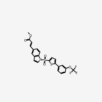 COC(=O)/C=C/c1ccc2c(ccn2S(=O)(=O)c2ccc(-c3cccc(OC(F)(F)F)c3)s2)c1